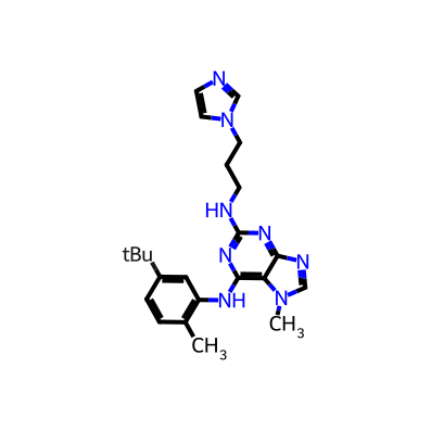 Cc1ccc(C(C)(C)C)cc1Nc1nc(NCCCn2ccnc2)nc2ncn(C)c12